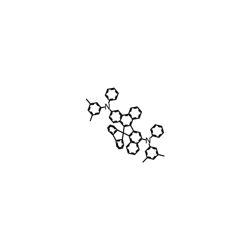 Cc1cc(C)cc(N(c2ccccc2)c2ccc3c4c(c5ccccc5c3c2)-c2cc(N(c3ccccc3)c3cc(C)cc(C)c3)c3ccccc3c2C42c3ccccc3-c3ccccc32)c1